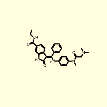 CCNC(=O)c1ccc2c(c1)NC(=O)/C2=C(\Nc1ccc(N(C)C(=O)CN(C)C)cc1)c1ccccc1